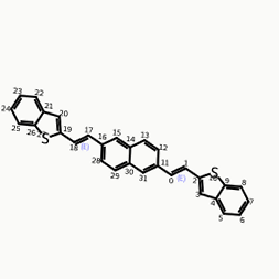 C(=C\c1cc2ccccc2s1)/c1ccc2cc(/C=C/c3cc4ccccc4s3)ccc2c1